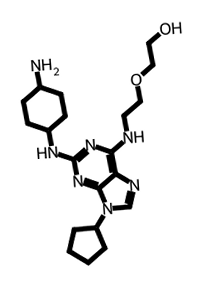 NC1CCC(Nc2nc(NCCOCCO)c3ncn(C4CCCC4)c3n2)CC1